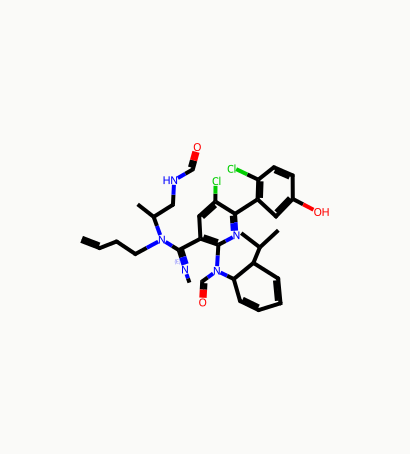 C=CCCN(/C(=N/C)c1cc(Cl)c(-c2cc(O)ccc2Cl)nc1N(C=O)C1C=CC=CC1C(C)C)C(C)CNC=O